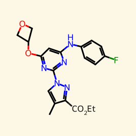 CCOC(=O)c1nn(-c2nc(Nc3ccc(F)cc3)cc(OC3COC3)n2)cc1C